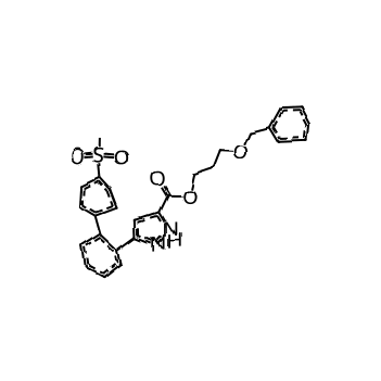 CS(=O)(=O)c1ccc(-c2ccccc2-c2cc(C(=O)OCCCOCc3ccccc3)n[nH]2)cc1